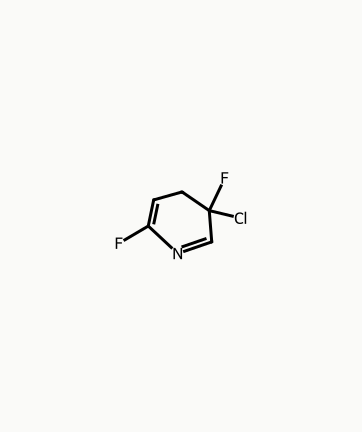 FC1=CCC(F)(Cl)C=N1